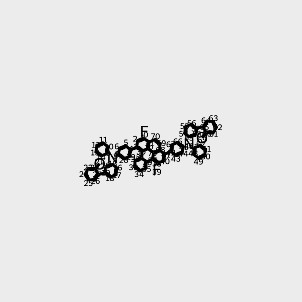 Fc1cc(-c2ccc(N(c3ccccc3)c3cccc4c3oc3ccccc34)cc2)c2c3ccccc3c3c(F)cc(-c4ccc(N(c5ccccc5)c5cccc6c5oc5ccccc56)cc4)c4ccc1c2c43